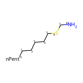 CCCCCCCCCCSCN